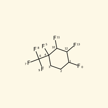 FC1CCC(F)(C(F)(F)F)C(F)C1F